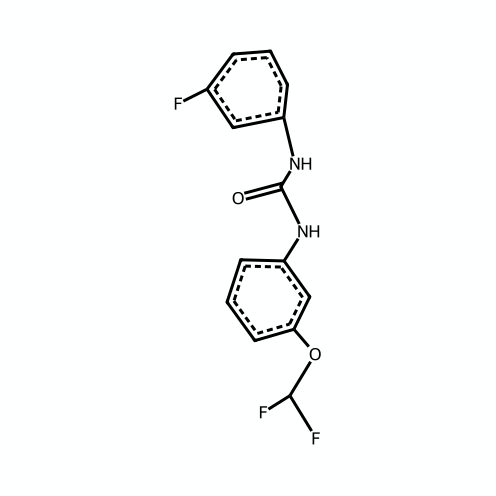 O=C(Nc1cccc(F)c1)Nc1cccc(OC(F)F)c1